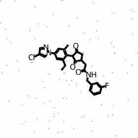 CCc1cc(-n2cc(Cl)cn2)cc(C)c1C1C(=O)CC(CC(=O)NCc2cccc(F)c2)C1=O